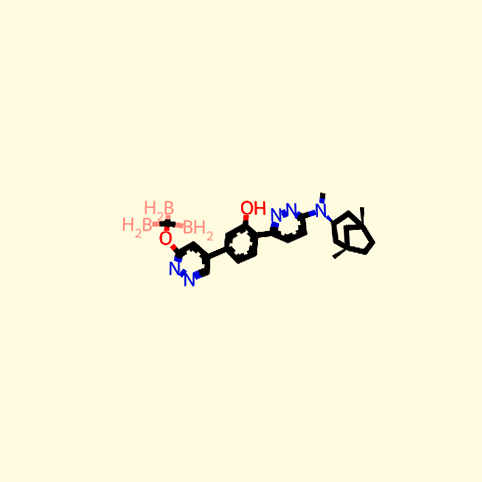 BC(B)(B)Oc1cc(-c2ccc(-c3ccc(N(C)[C@H]4C[C@]5(C)CC[C@](C)(C4)C5)nn3)c(O)c2)cnn1